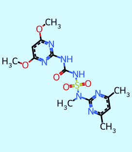 COc1cc(OC)nc(NC(=O)NS(=O)(=O)N(C)c2nc(C)cc(C)n2)n1